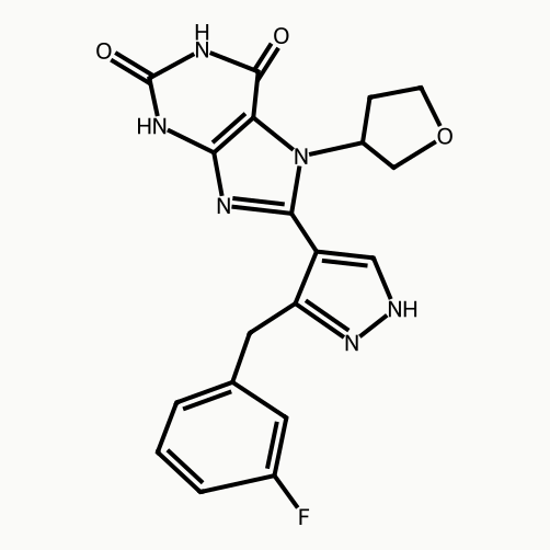 O=c1[nH]c(=O)c2c(nc(-c3c[nH]nc3Cc3cccc(F)c3)n2C2CCOC2)[nH]1